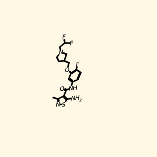 Cc1nsc(N)c1C(=O)Nc1ccc(F)c(OCC2CCN(CC(F)F)C2)c1